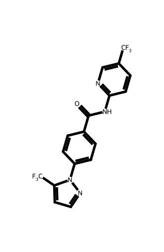 O=C(Nc1ccc(C(F)(F)F)cn1)c1ccc(-n2nccc2C(F)(F)F)cc1